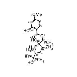 COc1ccc(C(=O)OC(C)C(C)(O)C(C)CC(C)C(C)(O)C(C)C)c(O)c1